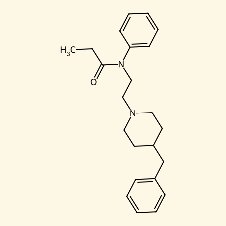 CCC(=O)N(CCN1CCC(Cc2ccccc2)CC1)c1ccccc1